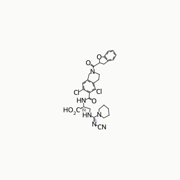 N#C/N=C(/NC[C@H](NC(=O)c1c(Cl)cc2c(c1Cl)CCN(C(=O)C1Cc3ccccc3O1)C2)C(=O)O)N1CCCCC1